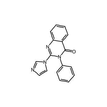 O=c1c2ccccc2nc(-n2ccnc2)n1-c1ccccc1